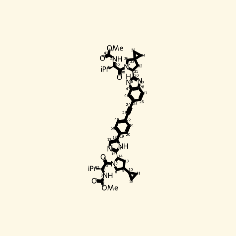 COC(=O)N[C@H](C(=O)N1CC(C2CC2)C[C@H]1c1ncc(-c2ccc(C#Cc3ccc4nc([C@@H]5CC6(CC6)CN5C(=O)[C@H](NC(=O)OC)C(C)C)[nH]c4c3)cc2)[nH]1)C(C)C